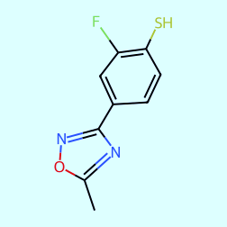 Cc1nc(-c2ccc(S)c(F)c2)no1